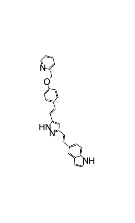 C(=Cc1cc(C=Cc2ccc3[nH]ccc3c2)n[nH]1)c1ccc(OCc2ccccn2)cc1